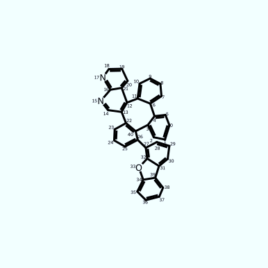 c1ccc2c(c1)-c1ccccc1-c1c(cnc3ncccc13)-c1cccc(-c3cccc4c3oc3ccccc34)c1-2